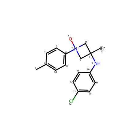 Cc1ccc([N+]2([O-])CC(Nc3ccc(Cl)cc3)(C(C)C)C2)cc1